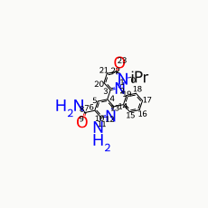 CC(C)n1nc(-c2cc(C(N)=O)c(N)nc2-c2ccccc2)ccc1=O